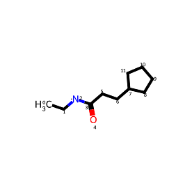 CC[N]C(=O)CCC1CCCC1